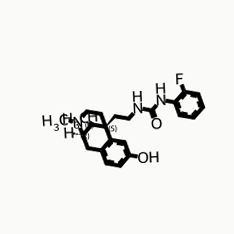 C[C@H]1[C@H]2Cc3ccc(O)cc3[C@@]1(CCNC(=O)Nc1ccccc1F)CCN2C